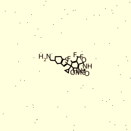 COC1c2[nH]c(=O)[nH]c(=O)c2C(C(F)F)=C(F)C1(c1cc2c(s1)CCC(CN)C2)C1CC1